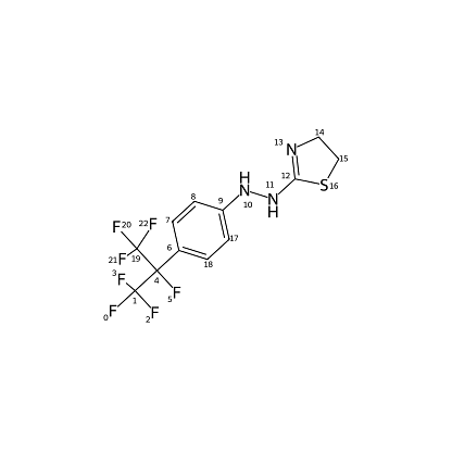 FC(F)(F)C(F)(c1ccc(NNC2=NCCS2)cc1)C(F)(F)F